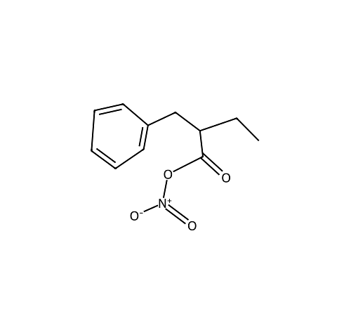 CCC(Cc1ccccc1)C(=O)O[N+](=O)[O-]